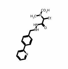 CCC(C(=O)NNCc1ccc(-c2ccccn2)cc1)N(C)C(=O)O